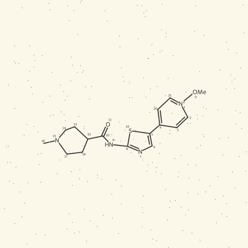 CO[n+]1ccc(-c2cnc(NC(=O)C3CCN(C)CC3)s2)cc1